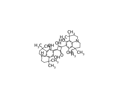 CC1(C)CCN2CCC(C)(C)c3c(O)c(C4=C(O)C(=c5c(O)c6c7c(c5O)C(C)(C)CC[PH]=7CCC6(C)C)C4=O)c(O)c1c32